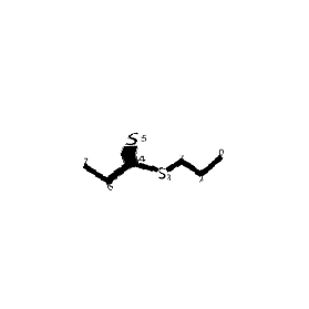 CCCSC(=S)CC